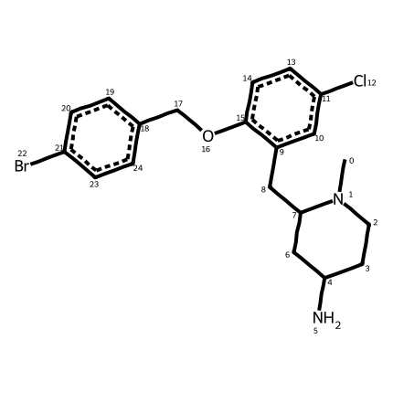 CN1CCC(N)CC1Cc1cc(Cl)ccc1OCc1ccc(Br)cc1